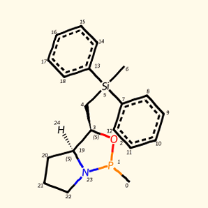 CP1O[C@H](C[Si](C)(c2ccccc2)c2ccccc2)[C@@H]2CCCN21